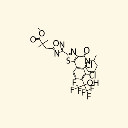 COC(=O)C(C)(C)Cc1nc(-c2nc(C(=O)N3CCCCC3C)c(-c3ccc(C(O)(C(F)(F)F)C(F)(F)F)c(Cl)c3Cl)s2)no1